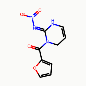 O=C(c1ccco1)N1CC=CNC1=N[N+](=O)[O-]